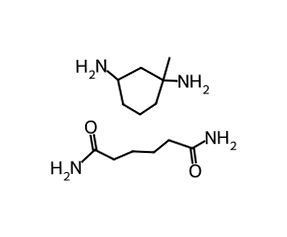 CC1(N)CCCC(N)C1.NC(=O)CCCCC(N)=O